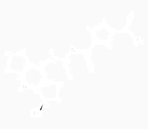 CC(=O)c1csc(/[SH](=O)=N/C(=O)Nc2c3c(nc4c2CC[C@H]4C)CCC3)c1